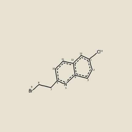 Clc1ccc2nc(CCBr)ccc2c1